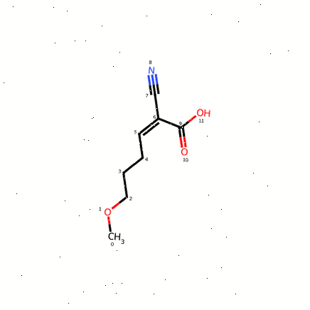 COCCCC=C(C#N)C(=O)O